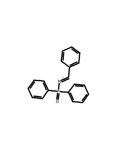 O=P(/N=C/c1ccccc1)(c1ccccc1)c1ccccc1